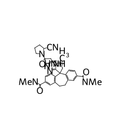 CNC(=O)c1ccc2c(c1)CCc1cc(C(=O)NC)ccc1C2(C[C@@H](C)NCC(=O)N1CCCC1C#N)c1nnc[nH]1